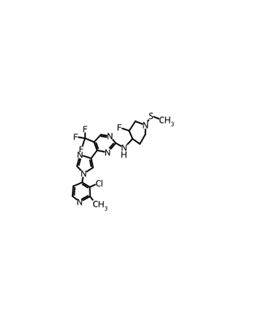 CSN1CCC(Nc2ncc(C(F)(F)F)c(-c3cn(-c4ccnc(C)c4Cl)cn3)n2)C(F)C1